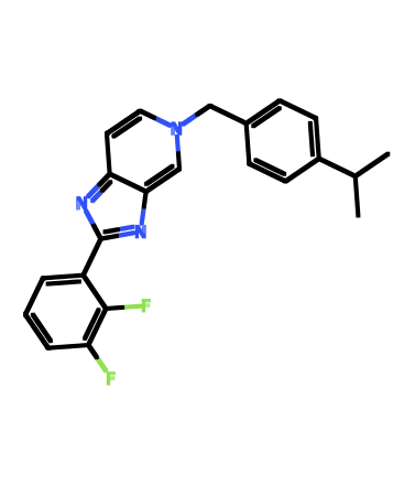 CC(C)c1ccc(Cn2ccc3nc(-c4cccc(F)c4F)nc-3c2)cc1